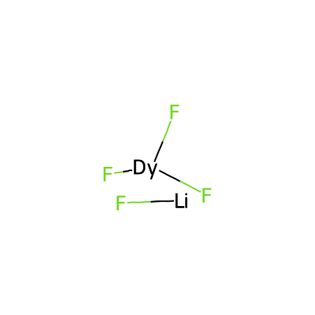 [F][Dy]([F])[F].[Li][F]